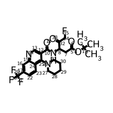 CC(C)(C)OC(=O)CC(NC(=O)c1cnc2cc(C(F)(F)F)ccc2c1N1CCCCC1)C(=O)CF